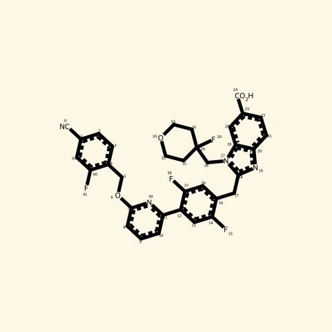 N#Cc1ccc(COc2cccc(-c3cc(F)c(Cc4nc5ccc(C(=O)O)cc5n4CC4(F)CCOCC4)cc3F)n2)c(F)c1